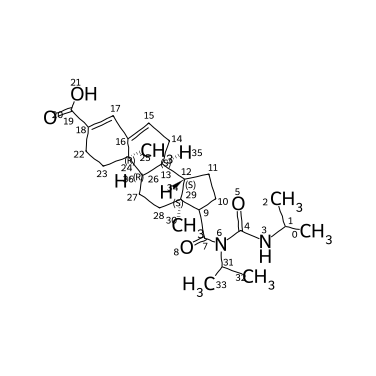 CC(C)NC(=O)N(C(=O)C1CC[C@H]2[C@@H]3CC=C4C=C(C(=O)O)CC[C@]4(C)[C@@H]3CC[C@]12C)C(C)C